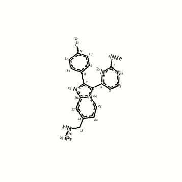 CNc1nccc(-c2c(-c3ccc(F)cc3)nc3cc(CNC(C)C)ccn23)n1